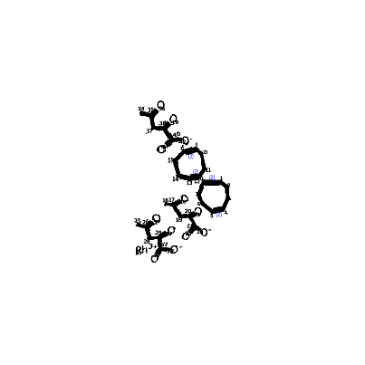 C1=C\CC/C=C\CC/1.C1=C\CC/C=C\CC/1.CC(=O)CC(=O)C(=O)[O-].CC(=O)CC(=O)C(=O)[O-].CC(=O)CC(=O)C(=O)[O-].[Rh+3]